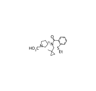 CCSc1ccccc1C(=O)N(CC1(C)CC1)[C@H]1CCN(C(=O)O)C1